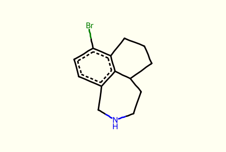 Brc1ccc2c3c1CCCC3CCNC2